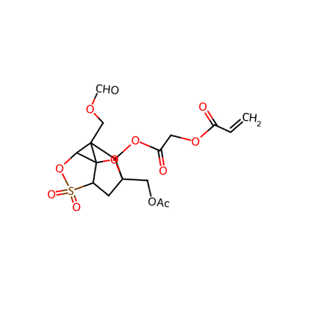 C=CC(=O)OCC(=O)OC1C2(COC(C)=O)CC3C4(O2)C(OS3(=O)=O)C14COC=O